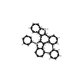 c1ccc(-n2c3cccc4c3c3c5c(cccc5c5oc6ccccc6c5c32)-c2ccccc2-4)cc1